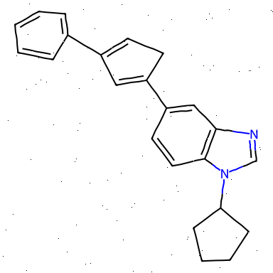 C1=C(c2ccccc2)C=C(c2ccc3c(c2)ncn3C2CCCC2)C1